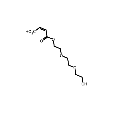 O=C(O)/C=C\C(=O)OCCOCCOCCO